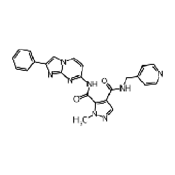 Cn1ncc(C(=O)NCc2ccncc2)c1C(=O)Nc1ccn2cc(-c3ccccc3)nc2n1